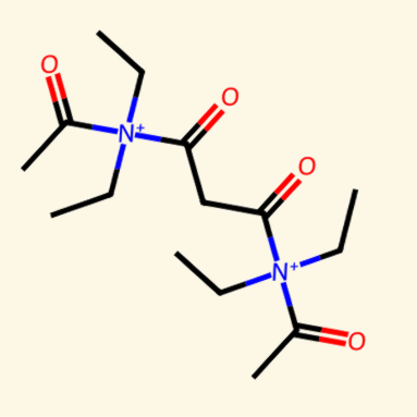 CC[N+](CC)(C(C)=O)C(=O)CC(=O)[N+](CC)(CC)C(C)=O